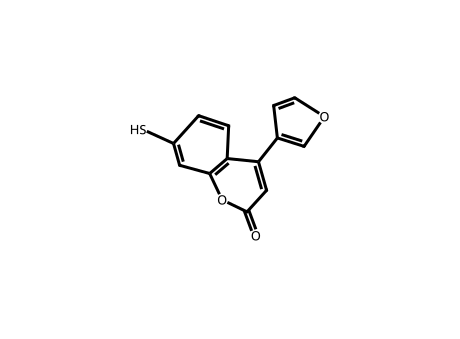 O=c1cc(-c2ccoc2)c2ccc(S)cc2o1